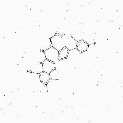 CCOC(=O)C[C@H](NC(=O)Nc1c(O)cc(C)n(C)c1=O)c1cc(-c2ccc(F)cc2F)cs1